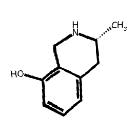 C[C@@H]1Cc2cccc(O)c2CN1